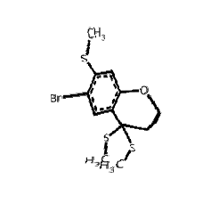 CSc1cc2c(cc1Br)C(SC)(SC)CCO2